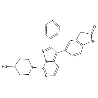 O=C1Cc2cc(-c3c(-c4ccccc4)nn4c(N5CCC(O)CC5)nccc34)ccc2N1